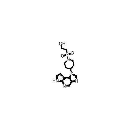 O=S(=O)(CCO)N1CCC(n2cnc3cnc4[nH]ccc4c32)CC1